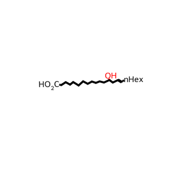 CCCCCCC=CCC(O)CCCCCCCCCCCC(=O)O